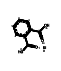 O=C(O)c1ccccc1C(=O)O.[Si]